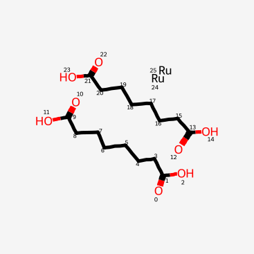 O=C(O)CCCCCCC(=O)O.O=C(O)CCCCCCC(=O)O.[Ru].[Ru]